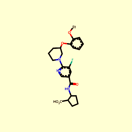 CCOc1ccccc1OC1CCCN(c2ncc(C(=O)NC3CCCC3C(=O)O)cc2F)C1